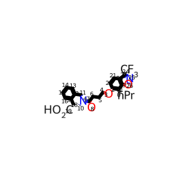 CCCc1c(OCCCC(=O)N(C)Cc2ccccc2CC(=O)O)ccc2c(C(F)(F)F)noc12